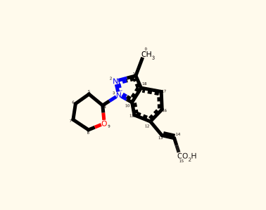 Cc1nn(C2CCCCO2)c2cc(/C=C/C(=O)O)ccc12